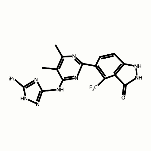 Cc1nc(-c2ccc3[nH][nH]c(=O)c3c2C(F)(F)F)nc(Nc2n[nH]c(C(C)C)n2)c1C